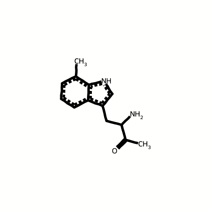 CC(=O)C(N)Cc1c[nH]c2c(C)cccc12